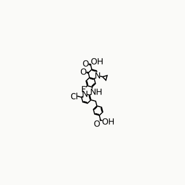 O=C(O)c1ccc(Cc2ccc(Cl)nc2Nc2cc3c(cc2F)c(=O)c(C(=O)O)cn3C2CC2)cc1